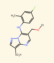 CCOCc1cnc2c(S(=O)(=O)O)cnn2c1Nc1ccc(F)cc1C